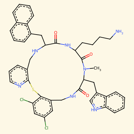 CN1C(=O)C(CCCCN)NC(=O)C(Cc2cccc3ccccc23)NCc2cccnc2Sc2c(Cl)cc(Cl)cc2CNC(=O)C1Cc1c[nH]c2ccccc12